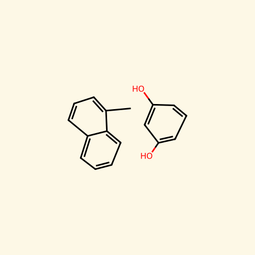 Cc1cccc2ccccc12.Oc1cccc(O)c1